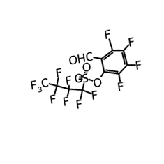 O=Cc1c(F)c(F)c(F)c(F)c1OS(=O)(=O)C(F)(F)C(F)(F)C(F)(F)C(F)(F)F